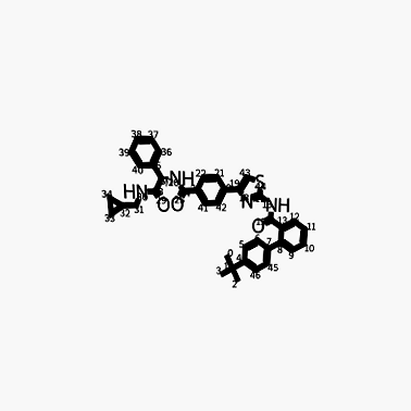 CC(C)(C)c1ccc(-c2ccccc2C(=O)Nc2nc(-c3ccc(C(=O)N[C@H](C(=O)NCC4CC4)c4ccccc4)cc3)cs2)cc1